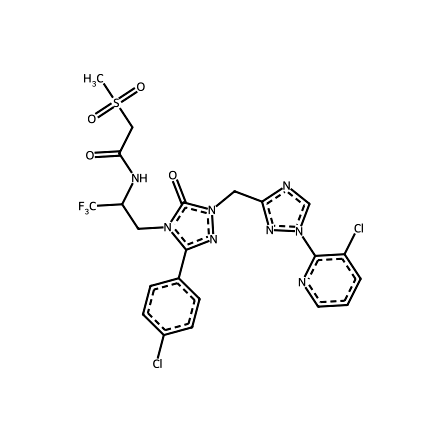 CS(=O)(=O)CC(=O)NC(Cn1c(-c2ccc(Cl)cc2)nn(Cc2ncn(-c3ncccc3Cl)n2)c1=O)C(F)(F)F